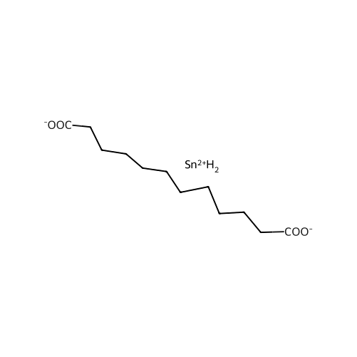 O=C([O-])CCCCCCCCCCC(=O)[O-].[SnH2+2]